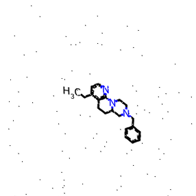 CCc1ccnc2c1CCC1CN(Cc3ccccc3)CCN21